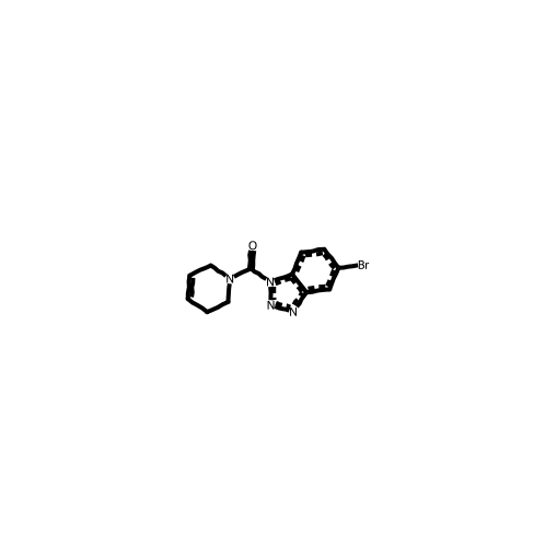 O=C(N1CC=CCC1)n1nnc2cc(Br)ccc21